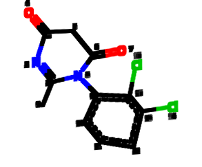 CC1=NC(=O)CC(=O)N1c1cccc(Cl)c1Cl